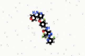 Nc1nccc(Oc2ccc(NC(=O)c3cnn(-c4ncccc4F)c3C(F)(F)F)cc2F)c1C1=CCOCC1